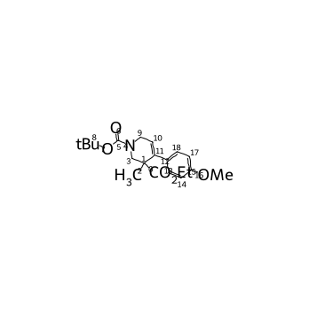 CCOC(=O)C1(C)CN(C(=O)OC(C)(C)C)CC=C1c1ccc(OC)cc1